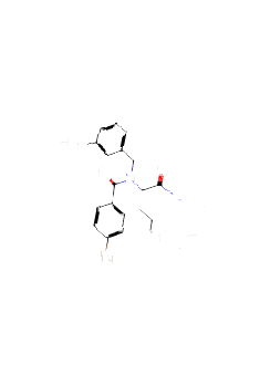 Cc1cccc(CN(C(=O)c2ccc(Br)cc2)[C@@H](CCC(=O)O)C(N)=O)c1